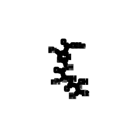 CCC[C@H](NC(=O)[C@H](O)C(CC)CC)C(=O)Nc1nc(C(=O)OC)c(C(C)C)s1